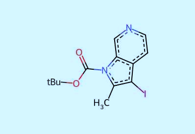 Cc1c(I)c2ccncc2n1C(=O)OC(C)(C)C